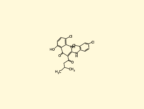 CC(C)CC(=O)c1c(Nc2ccc(Cl)cc2Cl)[nH]c2c(Cl)ccc(O)c2c1=O